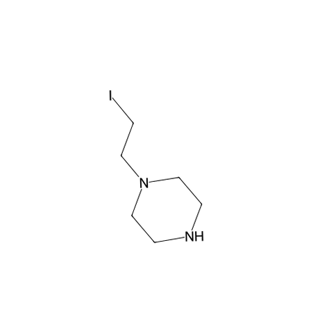 ICCN1CCNCC1